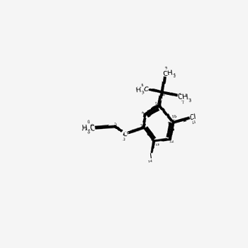 CCOc1cc(C(C)(C)C)c(Cl)cc1I